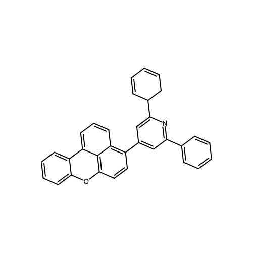 C1=CCC(c2cc(-c3ccc4c5c(cccc35)-c3ccccc3O4)cc(-c3ccccc3)n2)C=C1